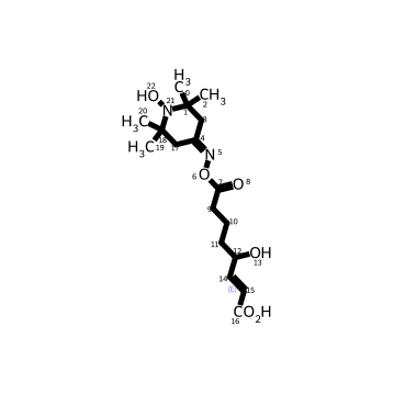 CC1(C)CC(=NOC(=O)CCCC(O)/C=C/C(=O)O)CC(C)(C)N1O